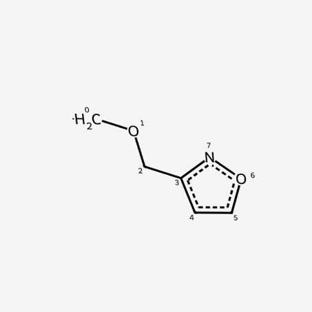 [CH2]OCc1ccon1